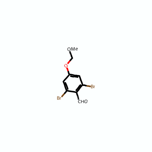 COCOc1cc(Br)c(C=O)c(Br)c1